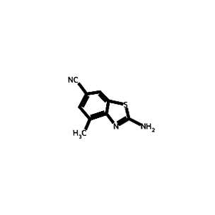 Cc1cc(C#N)cc2sc(N)nc12